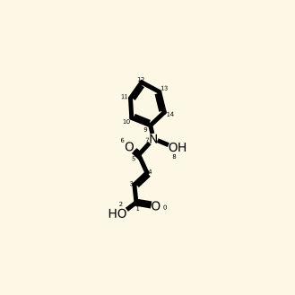 O=C(O)/C=C/C(=O)N(O)c1ccccc1